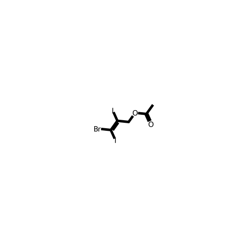 CC(=O)OCC(I)=C(Br)I